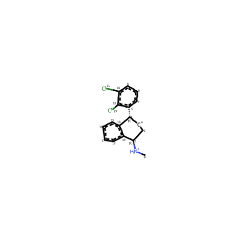 CN[C@@H]1CC[C@@H](c2cccc(Cl)c2Cl)c2ccccc21